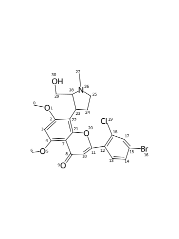 COc1cc(OC)c2c(=O)cc(-c3ccc(Br)cc3Cl)oc2c1C1CCN(C)C1CO